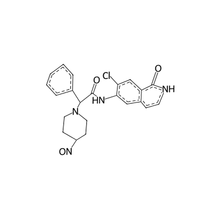 O=NC1CCN(C(C(=O)Nc2cc3cc[nH]c(=O)c3cc2Cl)c2ccccc2)CC1